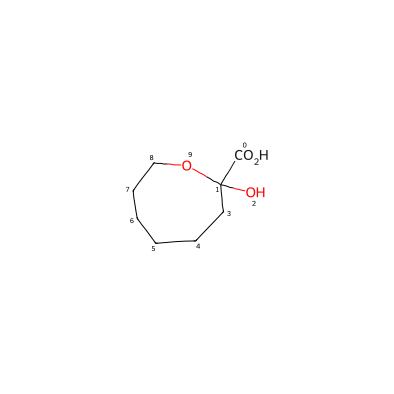 O=C(O)C1(O)CCCCCCO1